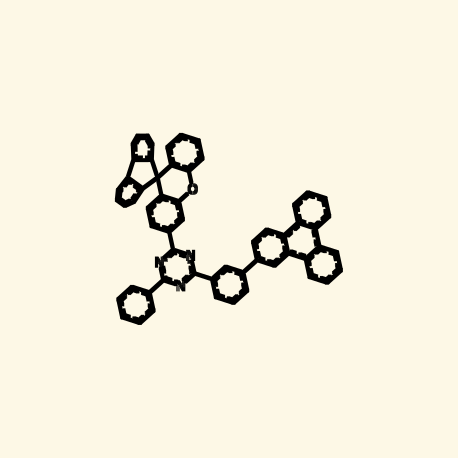 c1ccc(-c2nc(-c3cccc(-c4ccc5c6ccccc6c6ccccc6c5c4)c3)nc(-c3ccc4c(c3)Oc3ccccc3C43c4ccccc4-c4ccccc43)n2)cc1